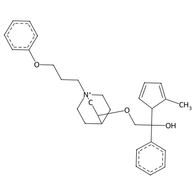 CC1=CC=CC1C(O)(COC1C[N+]2(CCCOc3ccccc3)CCC1CC2)c1ccccc1